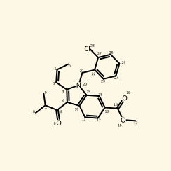 C/C=C\c1c(C(=O)C(C)C)c2ccc(C(=O)OC)cc2n1Cc1ccccc1Cl